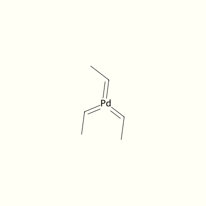 C[CH]=[Pd](=[CH]C)=[CH]C